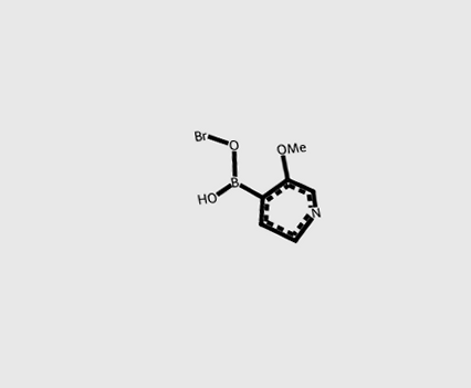 COc1cnccc1B(O)OBr